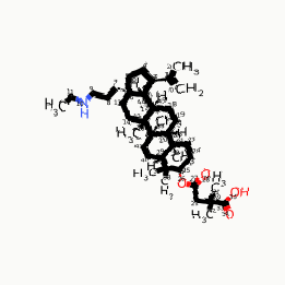 C=C(C)[C@@H]1CC[C@]2(CCCNCC)CC[C@]3(C)[C@H](CC[C@@H]4[C@@]5(C)CC[C@H](OC(=O)CC(C)(C)C(=O)O)C(C)(C)[C@@H]5CC[C@]43C)[C@@H]12